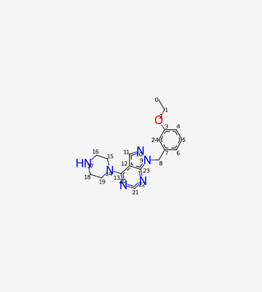 CCOc1cccc(Cn2ncc3c(N4CCNCC4)ncnc32)c1